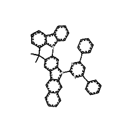 CC1(C)c2cc3c4cc5ccccc5cc4n(-c4nc(-c5ccccc5)cc(-c5ccccc5)n4)c3cc2-n2c3ccccc3c3cccc1c32